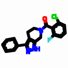 O=C(c1c(F)cccc1Cl)N1CCc2c(-c3ccccc3)n[nH]c2C1